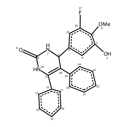 COc1c(O)cc(C2NC(=O)NC(c3ccccc3)=C2c2ccccc2)cc1F